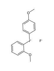 COc1ccc([I+]c2ccccc2OC)cc1.[F-]